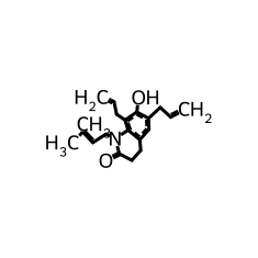 C=CCc1cc2c(c(CC=C)c1O)N(CC=C(C)C)C(=O)CC2